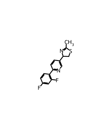 CC1=NC(c2ccc(-c3ccc(F)cc3F)nc2)CS1